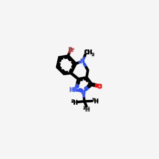 [2H]C([2H])([2H])n1[nH]c2c(c1=O)CN(C)c1c(Br)cccc1-2